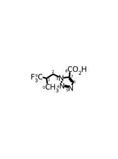 CC(Cn1nncc1C(=O)O)C(F)(F)F